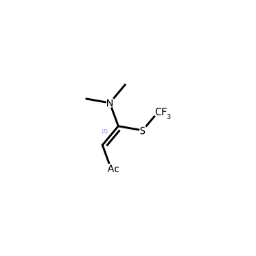 CC(=O)/C=C(\SC(F)(F)F)N(C)C